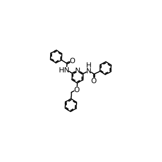 O=C(Nc1cc(OCc2ccccc2)cc(NC(=O)c2ccccc2)n1)c1ccccc1